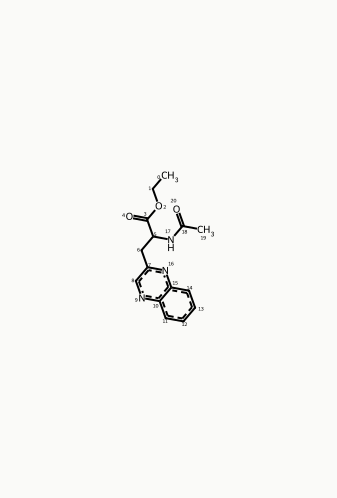 CCOC(=O)C(Cc1cnc2ccccc2n1)NC(C)=O